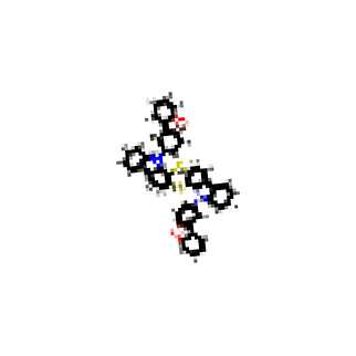 c1ccc2c(c1)oc1ccc(-n3c4ccccc4c4ccc5c(c43)Sc3ccc4c6ccccc6n(-c6ccc7oc8ccccc8c7c6)c4c3S5)cc12